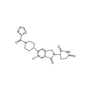 O=C1CCC(N2Cc3cc(C4CCN(C(=O)c5ccco5)CC4)c(F)cc3C2=O)C(=O)N1